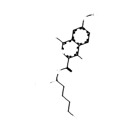 CC(C)Oc1ccc2c(O)c(C(=O)N[C@@H](CCCCN)C(=O)O)nc(Cl)c2c1